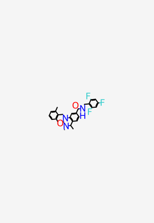 Cc1cccc(C)c1CN1C(=O)N(C)C(C)c2ccc(C(=O)NCc3c(F)cc(F)cc3F)cc21